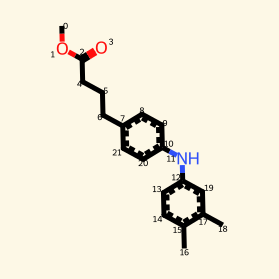 COC(=O)CCCc1ccc(Nc2ccc(C)c(C)c2)cc1